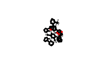 N#Cc1c(-n2c3ccccc3c3ccccc32)c(C#N)c(-n2c3ccccc3c3ccccc32)c(-n2c3ccc(-c4ccccc4C(F)(F)F)cc3c3ccc4oc5ccccc5c4c32)c1-n1c2ccccc2c2ccccc21